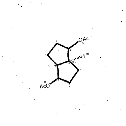 CC(=O)OC1CC[C@@H]2C(OC(C)=O)CCC12